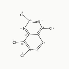 Clc1nc(Cl)c2ccc(Cl)c(Cl)c2n1